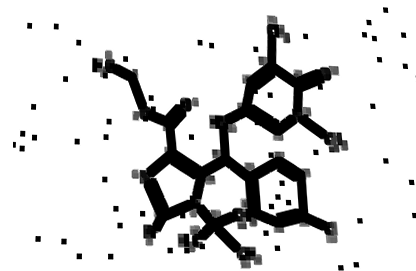 CCOC(=O)c1nc(Br)n(C(C)(C)C)c1C(Nc1cc(C)c(=O)n(C)c1)c1ccc(Cl)cc1